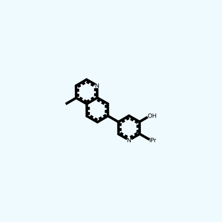 Cc1ccnc2cc(-c3cnc(C(C)C)c(O)c3)ccc12